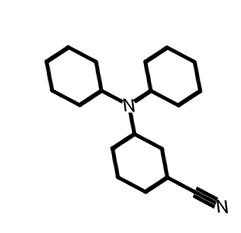 N#CC1CCCC(N(C2CCCCC2)C2CCCCC2)C1